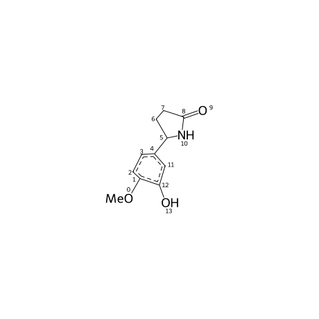 COc1ccc(C2CCC(=O)N2)cc1O